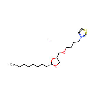 CCCCCCCCCCCCCCCCC[C@H]1OC[C@H](COCCCC[n+]2ccsc2)O1.[I-]